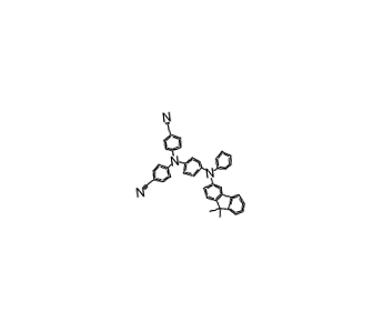 CC1(C)c2ccccc2-c2cc(N(c3ccccc3)c3ccc(N(c4ccc(C#N)cc4)c4ccc(C#N)cc4)cc3)ccc21